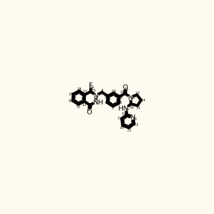 O=C1NN(Cc2cccc(C(=O)N3CCCC3Nc3ccccn3)c2)C(F)c2ccccc21